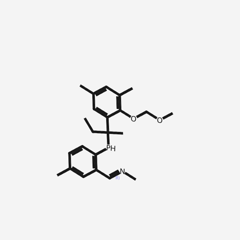 CCC(C)(Pc1ccc(C)cc1/C=N/C)c1cc(C)cc(C)c1OCOC